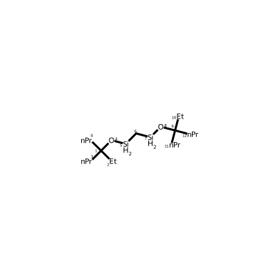 CCCC(CC)(CCC)O[SiH2]C[SiH2]OC(CC)(CCC)CCC